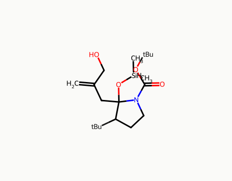 C=C(CO)CC1(O[SiH](C)C)C(C(C)(C)C)CCN1C(=O)OC(C)(C)C